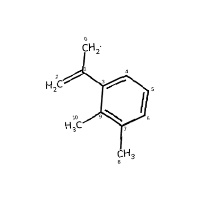 [CH2]C(=C)c1cccc(C)c1C